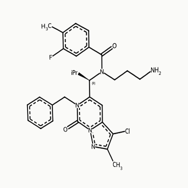 Cc1ccc(C(=O)N(CCCN)[C@@H](c2cc3c(Cl)c(C)nn3c(=O)n2Cc2ccccc2)C(C)C)cc1F